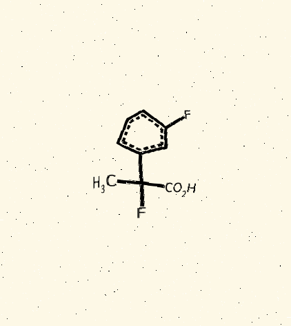 CC(F)(C(=O)O)c1cccc(F)c1